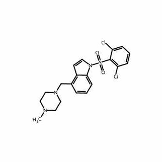 CN1CCN(Cc2cccc3c2ccn3S(=O)(=O)c2c(Cl)cccc2Cl)CC1